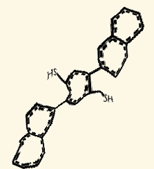 Sc1cc(-c2ccc3ccccc3c2)c(S)cc1-c1ccc2ccccc2c1